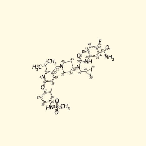 CC(C)c1nc(Oc2ccc(NS(C)(=O)=O)cc2)ccc1CN1CCC(N(CC2CC2)C(=O)Nc2cc(C(N)=O)c(F)cc2F)CC1